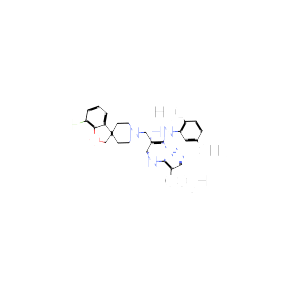 Cc1ccc(C)c(Nc2c(CN3CCC4(CC3)COc3c(F)cccc34)cnc3c(C(=O)O)cnn23)c1